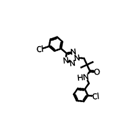 CC(C)(Cn1nnc(-c2cccc(Cl)c2)n1)C(=O)NCc1ccccc1Cl